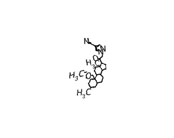 CCOCC12CCC(C)CC1CCC1C3CCC(C(=O)Cn4cc(C#N)cn4)C3(C)CCC12